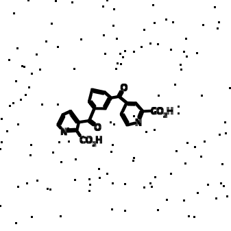 O=C(c1cccc(C(=O)c2cccnc2C(=O)O)c1)c1ccnc(C(=O)O)c1